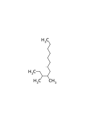 CCCCCC[CH]CC(C)C(C)CC